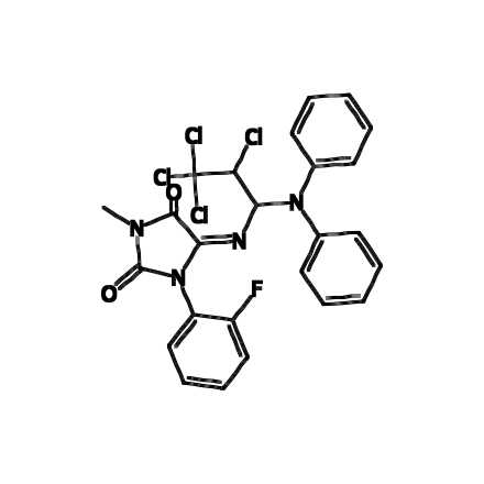 CN1C(=O)/C(=N\C(C(Cl)C(Cl)(Cl)Cl)N(c2ccccc2)c2ccccc2)N(c2ccccc2F)C1=O